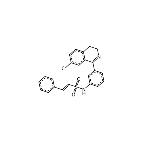 O=S(=O)(/C=C/c1ccccc1)Nc1cccc(C2=NCCc3ccc(Cl)cc32)c1